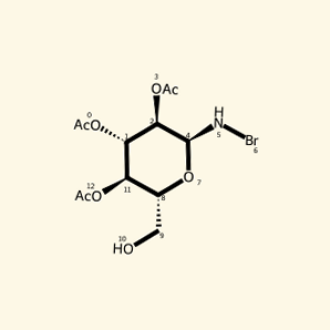 CC(=O)O[C@@H]1[C@@H](OC(C)=O)[C@@H](NBr)O[C@H](CO)[C@H]1OC(C)=O